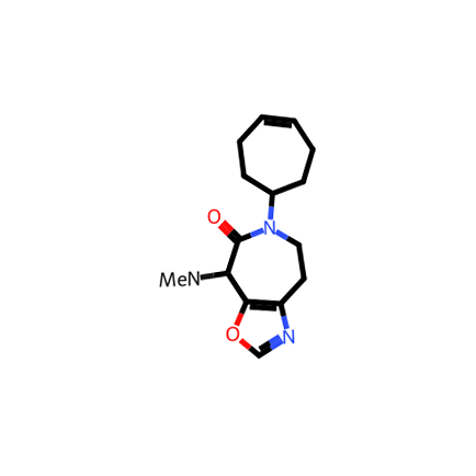 CNC1C(=O)N(C2CCC=CCC2)CCc2ncoc21